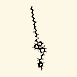 CCCCCCCCCCCCCCCCOC(=O)N1CCN2c3c1cccc3[C@]1(C)CN(CCCC(=O)c3ccc(F)cc3)CC[C@H]21